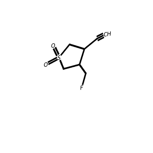 C#CC1CS(=O)(=O)CC1CF